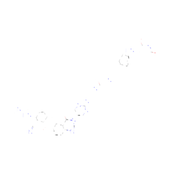 N#Cc1c(NSN2CCC2)ccc(F)c1Oc1ccc2ncn(-c3cnc(N4CCN(C(=O)CN5CCC(c6ccc(NC7CCC(=O)NC7=O)cc6F)CC5)CC4)nc3)c(=O)c2c1